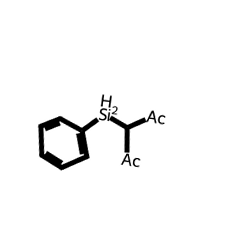 CC(=O)C([SiH2]c1ccccc1)C(C)=O